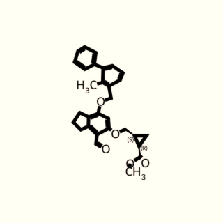 COC(=O)[C@@H]1C[C@@H]1COc1cc(OCc2cccc(-c3ccccc3)c2C)c2c(c1C=O)CCC2